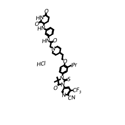 CC(C)c1cc(N2C(=S)N(c3cnc(C#N)c(C(F)(F)F)c3)C(=O)C2(C)C)ccc1OCCC1CCN(CC(=O)Nc2cccc(NC3CCC(=O)NC3=O)c2)CC1.Cl